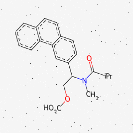 CC(C)C(=O)N(C)C(COC(=O)O)c1ccc2ccc3ccccc3c2c1